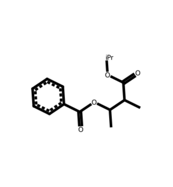 CC(C)OC(=O)C(C)C(C)OC(=O)c1ccccc1